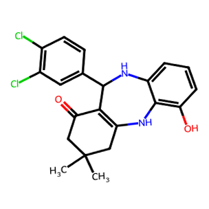 CC1(C)CC(=O)C2=C(C1)Nc1c(O)cccc1NC2c1ccc(Cl)c(Cl)c1